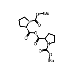 CC(C)(C)OC(=O)N1CCC[C@@H]1C(=O)OC(=O)[C@H]1CCCN1C(=O)OC(C)(C)C